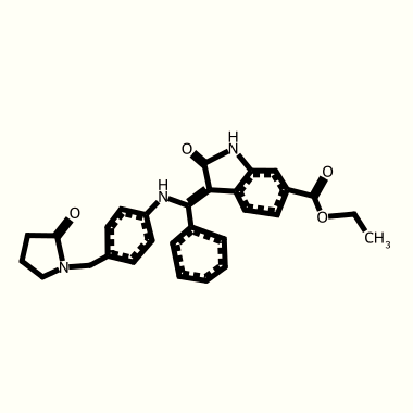 CCOC(=O)c1ccc2c(c1)NC(=O)/C2=C(\Nc1ccc(CN2CCCC2=O)cc1)c1ccccc1